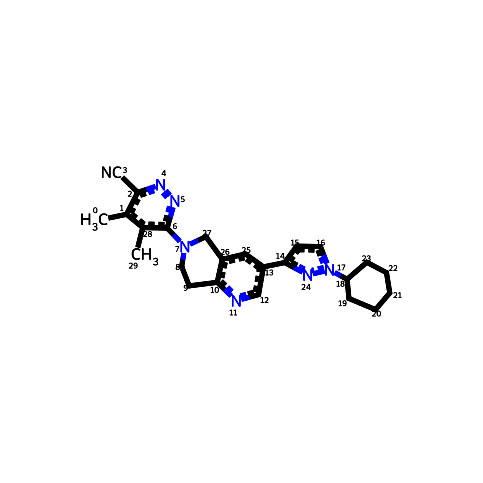 Cc1c(C#N)nnc(N2CCc3ncc(-c4ccn(C5CCCCC5)n4)cc3C2)c1C